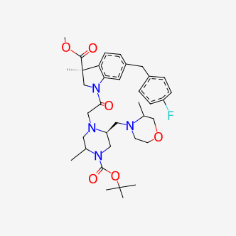 COC(=O)[C@]1(C)CN(C(=O)CN2CC(C)N(C(=O)OC(C)(C)C)C[C@@H]2CN2CCOCC2C)c2cc(Cc3ccc(F)cc3)ccc21